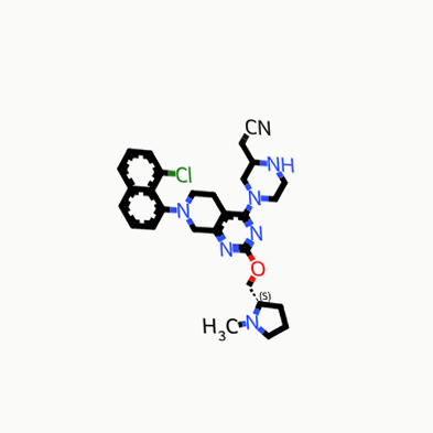 CN1CCC[C@H]1COc1nc2c(c(N3CCNC(CC#N)C3)n1)CCN(c1cccc3cccc(Cl)c13)C2